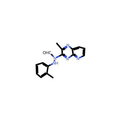 Cc1ccccc1NN(C=O)c1nc2ncccc2nc1C